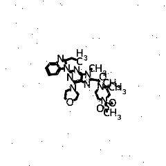 CCc1nc2ccccc2n1-c1nc(N2CCOCC2)c2nc(C(=O)N3CCN(S(C)(=O)=O)CC3(C)C)n(C)c2n1